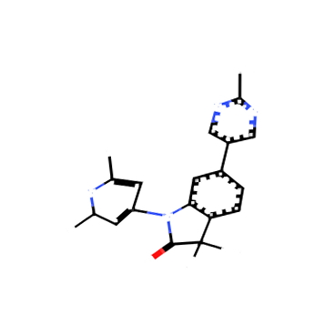 CC1=CC(N2C(=O)C(C)(C)c3ccc(-c4cnc(C)nc4)cc32)=CC(C)N1